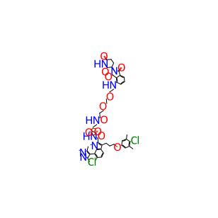 Cc1cc(OCCCc2c(C(=O)NS(=O)(=O)CCNC(=O)CCOCCOCCNc3cccc4c3C(=O)N(C3CCC(=O)NC3=O)C4=O)n(C)c3c(-c4c(C)nn(C)c4C)c(Cl)ccc23)cc(C)c1Cl